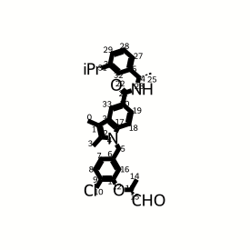 Cc1c(C)n(Cc2ccc(Cl)c(O[C@@H](C)C=O)c2)c2ccc(C(=O)N[C@@H](C)c3cccc(C(C)C)c3)cc12